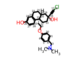 CN(C)Cc1ccc(OCC[C@@]23CC[C@](O)(C#CCl)C[C@H]2CCc2cc(O)ccc23)cc1